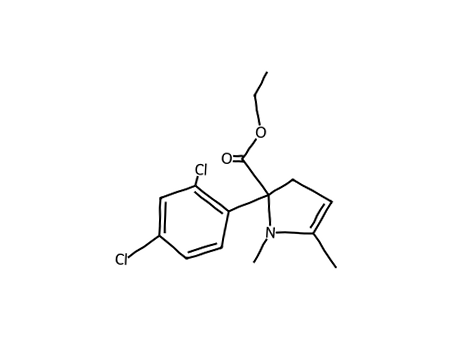 CCOC(=O)C1(c2ccc(Cl)cc2Cl)CC=C(C)N1C